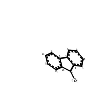 [Zr][CH]1c2ccccc2-c2ccccc21